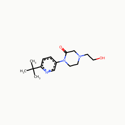 CC(C)(C)c1ccc(N2CCN(CCO)CC2=O)cn1